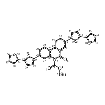 CC(C)(C)OC(=O)n1c(=O)c2cc(-c3ccc(-c4cccs4)s3)ccc2c2ccc(-c3ccc(-c4cccs4)s3)cc21